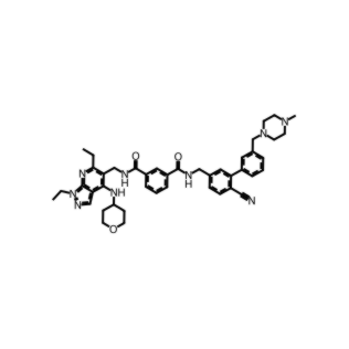 CCc1nc2c(cnn2CC)c(NC2CCOCC2)c1CNC(=O)c1cccc(C(=O)NCc2ccc(C#N)c(-c3cccc(CN4CCN(C)CC4)c3)c2)c1